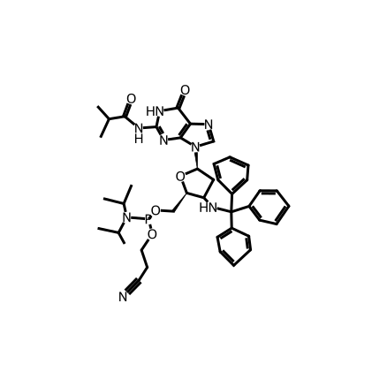 CC(C)C(=O)Nc1nc2c(ncn2[C@H]2CC(NC(c3ccccc3)(c3ccccc3)c3ccccc3)[C@@H](COP(OCCC#N)N(C(C)C)C(C)C)O2)c(=O)[nH]1